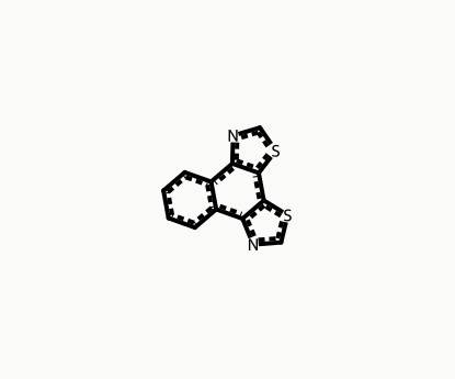 c1ccc2c(c1)c1ncsc1c1scnc21